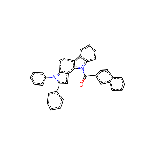 O=C(c1ccc2ccccc2c1)n1c2ccccc2c2ccc3c(cc(-c4ccccc4)n3-c3ccccc3)c21